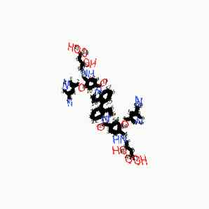 N#Cc1cncc(COc2cc(C(=O)N3CCc4c(-c5cccc6c5CCN6C(=O)c5ccc(CNC[C@@H](O)CC(=O)O)c(OCc6cncc(C#N)c6)c5)cccc43)ccc2CNC[C@@H](O)CC(=O)O)c1